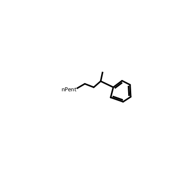 [CH2]CCCCCCC(C)c1ccccc1